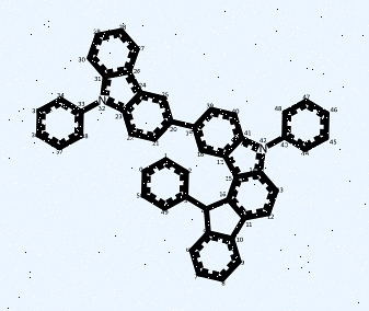 c1ccc(C2c3ccccc3-c3ccc4c(c32)c2cc(-c3ccc5c(c3)c3ccccc3n5-c3ccccc3)ccc2n4-c2ccccc2)cc1